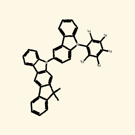 [2H]c1c([2H])c([2H])c(-n2c3ccccc3c3cc(-n4c5ccccc5c5cc6c(cc54)C(C)(C)c4ccccc4-6)ccc32)c([2H])c1[2H]